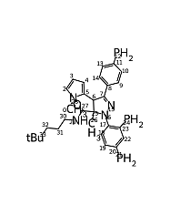 Cn1cccc1C1C(c2ccc(P)cc2)=NN(c2ccc(P)cc2P)C1(C)C(=O)NCCCC(C)(C)C